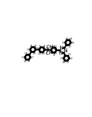 CC(C)(c1ccc(-c2cccc(-c3ccccc3)c2)cc1)c1ccc(-c2nc(-c3ccccc3)nc(-c3ccccc3)n2)cc1